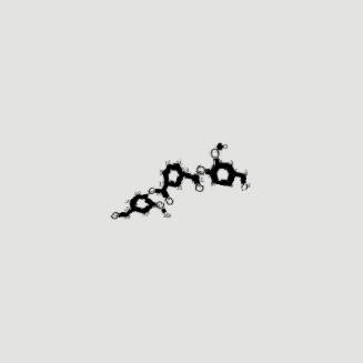 COc1cc(C=O)ccc1OC(=O)c1cccc(C(=O)Oc2ccc(C=O)cc2OC)c1